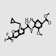 COC(=O)c1cc(N)c(N(C)C(=O)c2cc3cc(C(F)(F)F)oc3n2CC2CC2)c(OC)c1